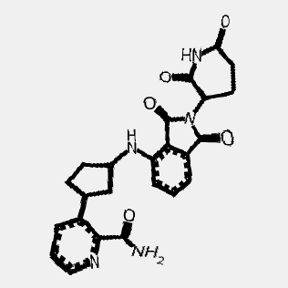 NC(=O)c1ncccc1C1CCC(Nc2cccc3c2C(=O)N(C2CCC(=O)NC2=O)C3=O)C1